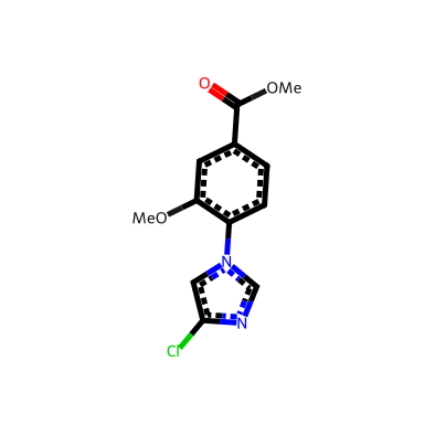 COC(=O)c1ccc(-n2cnc(Cl)c2)c(OC)c1